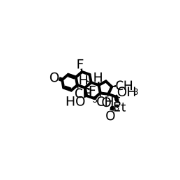 CCC(=O)O[C@@]1(C(O)=S)[C@H](C)C[C@H]2[C@@H]3C[C@H](F)C4=CC(=O)C=C[C@]4(C)[C@@]3(F)[C@@H](O)C[C@@]21C